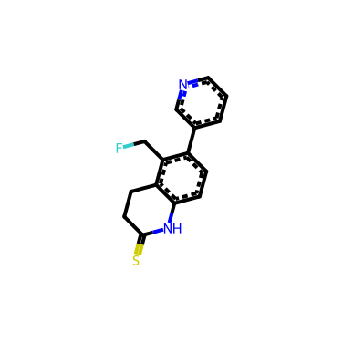 FCc1c(-c2cccnc2)ccc2c1CCC(=S)N2